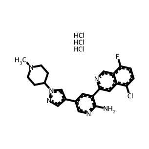 CN1CCC(n2cc(-c3cnc(N)c(-c4cc5c(Cl)ccc(F)c5cn4)c3)cn2)CC1.Cl.Cl.Cl